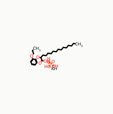 CCCCCCCCCCCCCCC(Oc1ccccc1OCCC)C(=O)O.O=P(O)(O)O.[KH]